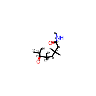 CNC(=O)CC(C)(C)CC(C)(C)C(=O)C(C)C